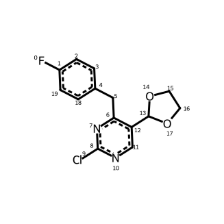 Fc1ccc(Cc2nc(Cl)ncc2C2OCCO2)cc1